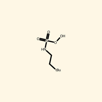 CC(C)(C)CCNS(=O)(=O)OO